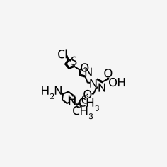 CC(C)N1CCC(N)CC1.COCc1nc(C(=O)O)cn1Cc1cc(-c2ccc(Cl)s2)on1